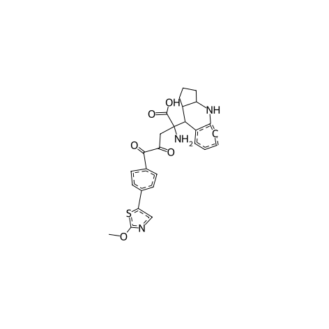 COc1ncc(-c2ccc(C(=O)C(=O)CC(N)(C(=O)O)C3c4ccccc4NC4CCCC43)cc2)s1